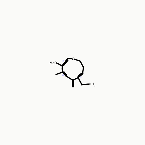 C=C1/C=C(C)\C(OC)=C/CCC/C=C\1CN